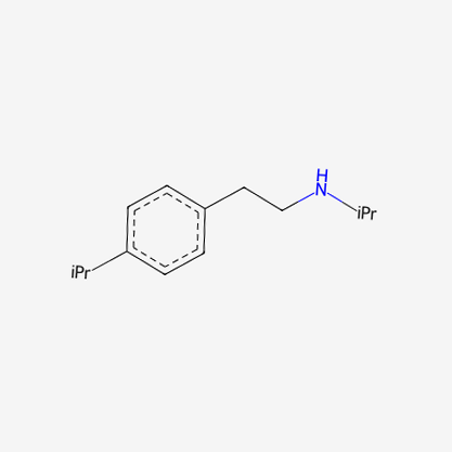 CC(C)NCCc1ccc(C(C)C)cc1